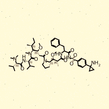 CC[C@H](C)[C@@H]([C@@H](CC(=O)N1CCC[C@H]1[C@H](OC)[C@@H](C)C(=O)NC(Cc1ccccc1)C(=O)NS(=O)(=O)c1ccc(C2(N)CC2)cc1)OC)N(C)C(=O)[C@@H](NC(=O)[C@H](C(C)C)N(C)C)C(C)C